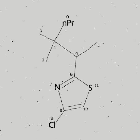 CCCC(C)(C)C(C)c1nc(Cl)cs1